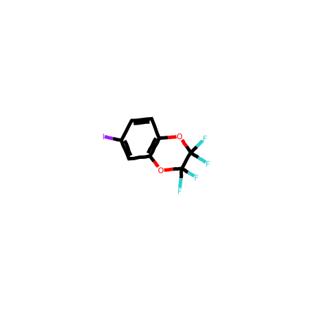 FC1(F)Oc2ccc(I)cc2OC1(F)F